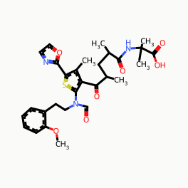 COc1ccccc1CCN(C=O)c1sc(-c2ncco2)c(C)c1C(=O)C(C)CC(C)C(=O)NC(C)(C)C(=O)O